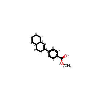 COC(=O)c1ccc(C2=CC3CCCCC3CC2)cc1